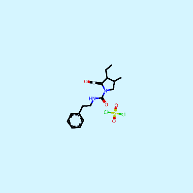 CCC1C(=C=O)N(C(=O)NCCc2ccccc2)CC1C.O=S(=O)(Cl)Cl